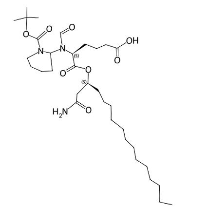 CCCCCCCCCCCCC[C@@H](CC(N)=O)OC(=O)[C@H](CCCC(=O)O)N(C=O)C1CCCCN1C(=O)OC(C)(C)C